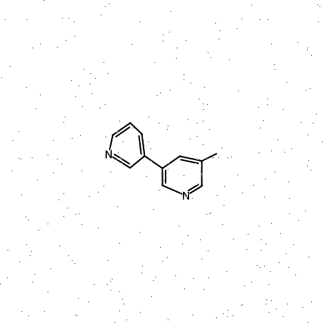 Cc1cncc(-c2cccnc2)c1